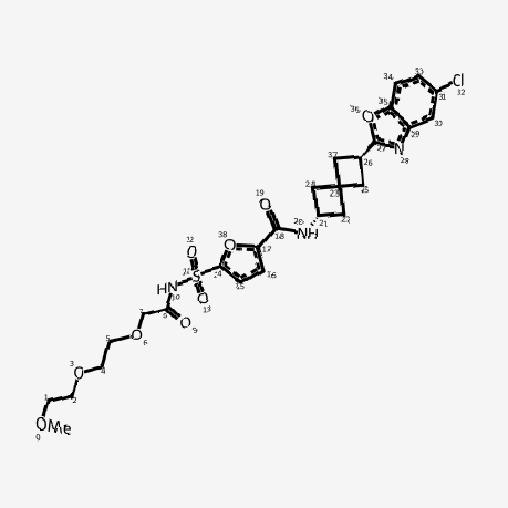 COCCOCCOCC(=O)NS(=O)(=O)c1ccc(C(=O)N[C@H]2CC3(C2)C[C@H](c2nc4cc(Cl)ccc4o2)C3)o1